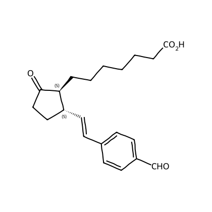 O=Cc1ccc(C=C[C@@H]2CCC(=O)[C@H]2CCCCCCC(=O)O)cc1